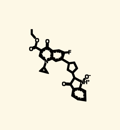 CCOC(=O)c1cn(C2CC2)c2cc(C3CCC(C4C(=O)c5ccccc5[NH+]4[O-])C3)c(F)cc2c1=O